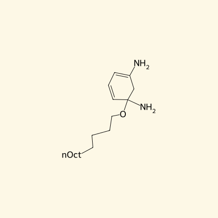 CCCCCCCCCCCCOC1(N)C=CC=C(N)C1